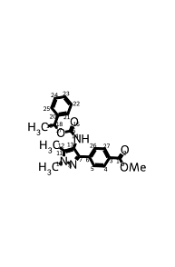 COC(=O)c1ccc(-c2nn(C)c(C)c2NC(=O)OC(C)c2ccccc2)cc1